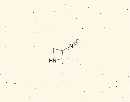 [C-]#[N+]C1CNC1